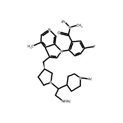 CC(=O)NCC(C1CCN(C(C)=O)CC1)N1CC[C@@H](Cc2cn(-c3ccc(F)cc3C(=O)N(C)C(C)C)c3cncc(C)c23)C1